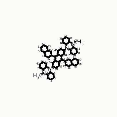 CN1c2ccccc2N(c2ccc3c(-c4ccc5ccccc5c4)c4cc(N5c6ccccc6N(C)c6ccccc65)ccc4c(-c4ccc5ccccc5c4)c3c2)c2ccccc21